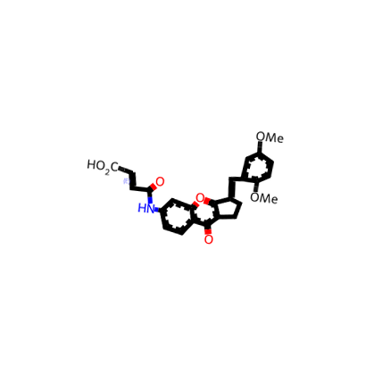 COc1ccc(OC)c(C=C2CCc3c2oc2cc(NC(=O)/C=C/C(=O)O)ccc2c3=O)c1